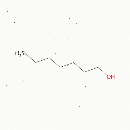 OCCCCCC[SiH3]